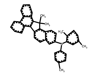 Cc1ccc(N(c2ccc3c4c(ccc3c2)-c2c(c3ccccc3c3ccccc23)C4(C)C)c2cc(C)ccc2C)cc1